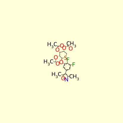 CC(=O)O[C@@H]1[C@@H](OC(C)=O)[C@H](OC(C)=O)CS[C@H]1Oc1cc(-c2c(C)noc2C)cc(F)c1F